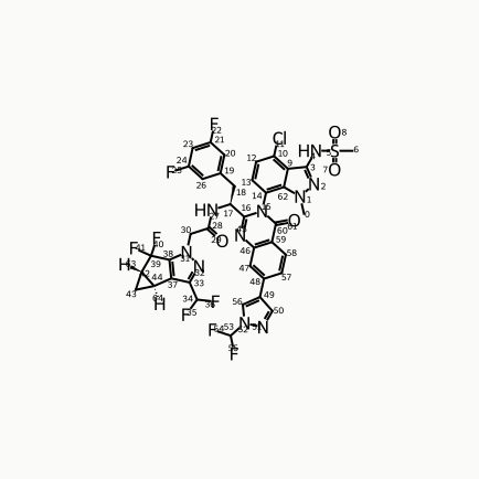 Cn1nc(NS(C)(=O)=O)c2c(Cl)ccc(-n3c([C@H](Cc4cc(F)cc(F)c4)NC(=O)Cn4nc(C(F)F)c5c4C(F)(F)[C@H]4C[C@H]54)nc4cc(-c5cnn(C(F)F)c5)ccc4c3=O)c21